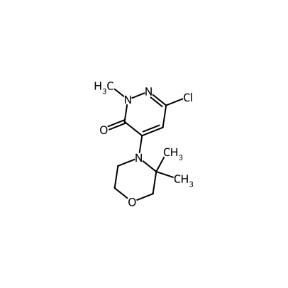 Cn1nc(Cl)cc(N2CCOCC2(C)C)c1=O